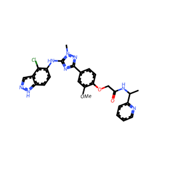 COc1cc(-c2nc(Nc3ccc4[nH]ncc4c3Cl)n(C)n2)ccc1OCC(=O)NC(C)c1ccccn1